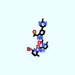 CC(=O)c1nn(CC(=O)N2[C@@H](C)CC[C@H]2C(=O)Nc2nc(Br)ccc2C)c2ccc(-c3cnc(C)nc3)cc12